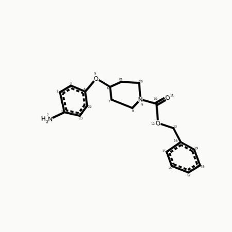 Nc1ccc(OC2CCN(C(=O)OCc3ccccc3)CC2)cc1